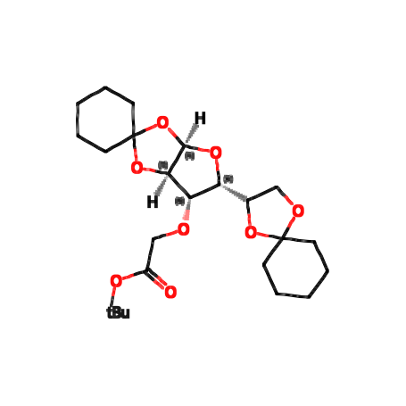 CC(C)(C)OC(=O)CO[C@@H]1[C@H]2OC3(CCCCC3)O[C@H]2O[C@@H]1C1COC2(CCCCC2)O1